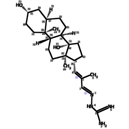 CC(/C=N/NC(=N)N)=C\[C@H]1CC[C@]2(O)[C@@H]3CC[C@@H]4C[C@@H](O)CC[C@]4(C)[C@H]3CC[C@]12C